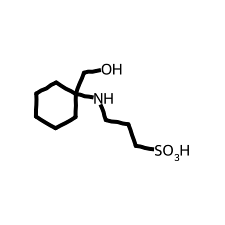 O=S(=O)(O)CCCNC1(CO)CCCCC1